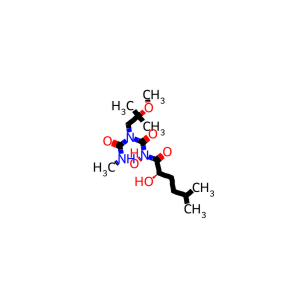 CNC(=O)N(CC(C)(C)OC)C(=O)N(O)C(=O)[C@@H](O)CCC(C)C